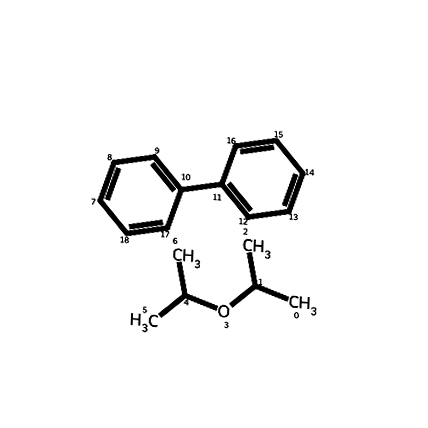 CC(C)OC(C)C.c1ccc(-c2ccccc2)cc1